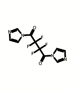 O=C(n1ccnc1)C(F)(F)C(F)(F)C(=O)n1ccnc1